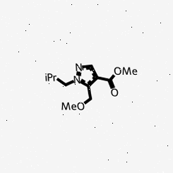 COCc1c(C(=O)OC)cnn1CC(C)C